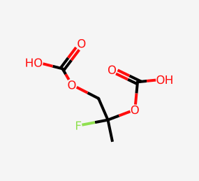 CC(F)(COC(=O)O)OC(=O)O